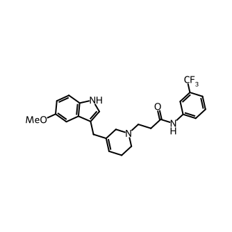 COc1ccc2[nH]cc(CC3=CCCN(CCC(=O)Nc4cccc(C(F)(F)F)c4)C3)c2c1